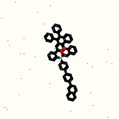 c1ccc(-c2c(-c3ccccc3)c3cc(-c4ccccc4N(c4ccc(-c5ccc(-c6ccc7ccccc7c6)cc5)cc4)c4ccc5ccccc5c4)ccc3c3ccccc23)cc1